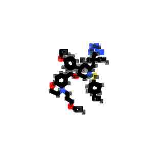 COCCCN1CCOc2ccc(CO[C@H]3CN(Sc4ccc(C)cc4)[C@H](CC(C)(C)c4nnn[nH]4)C[C@@H]3c3ccc(OC)cc3)cc21